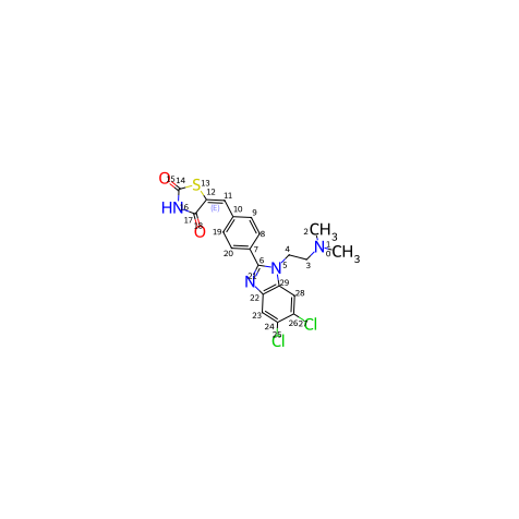 CN(C)CCn1c(-c2ccc(/C=C3/SC(=O)NC3=O)cc2)nc2cc(Cl)c(Cl)cc21